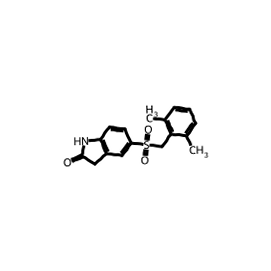 Cc1cccc(C)c1CS(=O)(=O)c1ccc2c(c1)CC(=O)N2